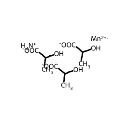 CC(O)C(=O)[O-].CC(O)C(=O)[O-].CC(O)C(=O)[O-].[Mn+2].[NH4+]